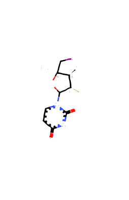 CC[C@@]1(CI)OC(n2ccc(=O)[nH]c2=O)[C@H](F)[C@@H]1C